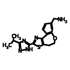 CC(C)c1n[nH]c(-c2nc3c(s2)CCOc2cc(CN)ccc2-3)n1